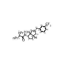 CCCC(CCC)C(=O)N[C@H]1CC[C@H]2CN(Cc3cccc(C(F)(F)F)c3)C[C@H]21